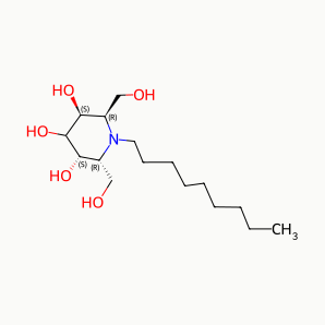 CCCCCCCCCN1[C@H](CO)[C@H](O)C(O)[C@@H](O)[C@H]1CO